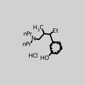 CCCN(CCC)CC(C)C(CC)c1cccc(O)c1.Cl